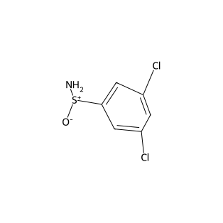 N[S+]([O-])c1cc(Cl)cc(Cl)c1